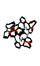 c1ccc(-c2cccc(-c3ccccc3)c2N2c3ccccc3B3c4ccccc4N(c4c(-c5ccccc5)cccc4-c4ccccc4)c4cc(-n5c6ccccc6c6ccccc65)cc2c43)cc1